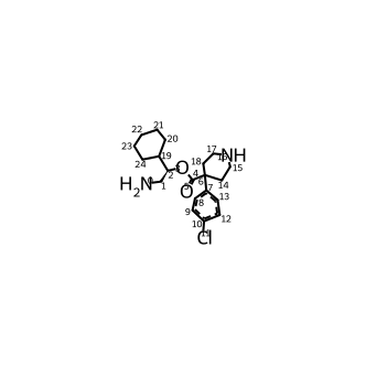 NC[C@H](OC(=O)C1(c2ccc(Cl)cc2)CCNCC1)C1CCCCC1